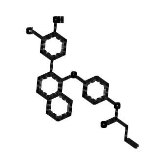 C=CCC(=O)Oc1ccc(Oc2c(-c3ccc(O)c(Cl)c3)ccc3ccccc23)cc1